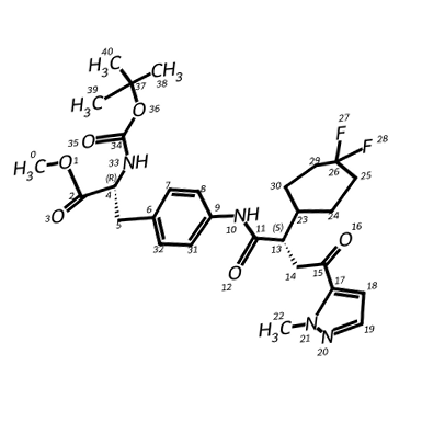 COC(=O)[C@@H](Cc1ccc(NC(=O)[C@@H](CC(=O)c2ccnn2C)C2CCC(F)(F)CC2)cc1)NC(=O)OC(C)(C)C